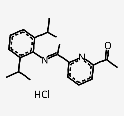 CC(=O)c1cccc(C(C)=Nc2c(C(C)C)cccc2C(C)C)n1.Cl